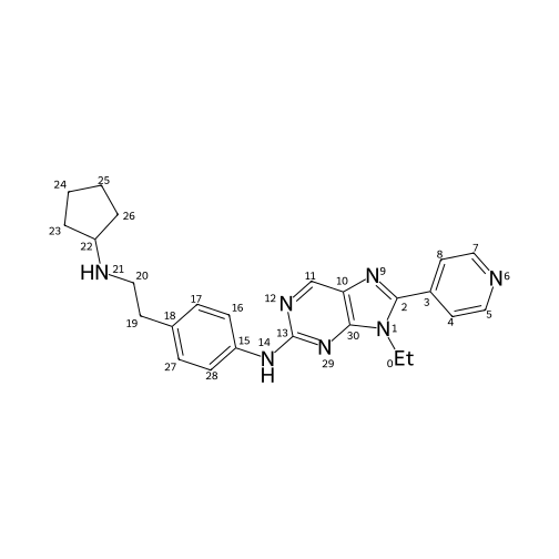 CCn1c(-c2ccncc2)nc2cnc(Nc3ccc(CCNC4CCCC4)cc3)nc21